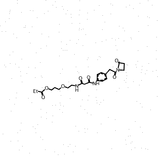 CCC(=O)OCCCOCCNC(=O)CC(=O)Nc1ccc(CC(=O)N2CCC2=O)cc1